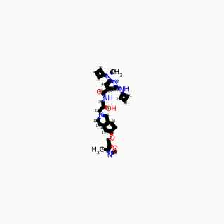 Cc1ncoc1COc1ccc2c(c1)CCN(CC(O)CNC(=O)c1cc(NC3CCC3)nc(N(C)C3CCC3)c1)C2